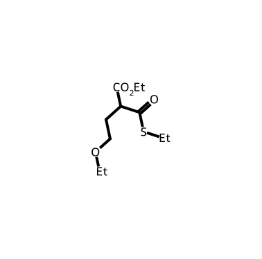 CCOCCC(C(=O)OCC)C(=O)SCC